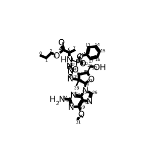 CCCOC(=O)C(C)N[P@](=O)(Oc1ccccc1)O[C@@H]1[C@@H](CO)O[C@@H](n2cnc3c(OC)nc(N)nc32)[C@]1(C)N=[N+]=[N-]